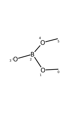 COB([O])OC